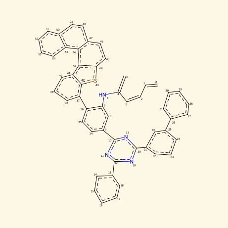 C=C/C=C\C(=C)Nc1cc(-c2nc(-c3ccccc3)nc(-c3cccc(-c4ccccc4)c3)n2)ccc1-c1cccc2c1sc1ccc3ccc4ccccc4c3c12